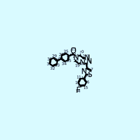 C[C@@H]1c2nnc(-c3csc(-c4ccc(F)cc4)n3)n2CCN1C(=O)c1ccc(-c2ccccc2)cc1